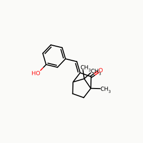 CC12CCC(C(=Cc3cccc(O)c3)C1=O)C2(C)C